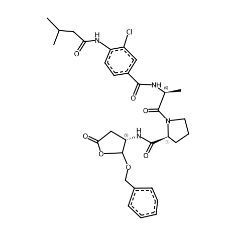 CC(C)CC(=O)Nc1ccc(C(=O)N[C@@H](C)C(=O)N2CCC[C@H]2C(=O)N[C@H]2CC(=O)OC2OCc2ccccc2)cc1Cl